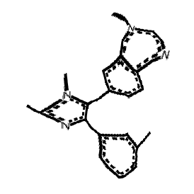 Cc1cccc(-c2nc(C)n(C)c2-c2ccc3ncn(C)c3c2)c1